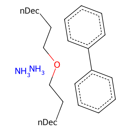 CCCCCCCCCCCCOCCCCCCCCCCCC.N.N.c1ccc(-c2ccccc2)cc1